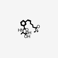 CC(NC(=O)c1cccc(/C=C\CCCC(=O)N(C)C)c1)C(O)O